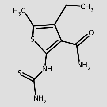 CCc1c(C)sc(NC(N)=S)c1C(N)=O